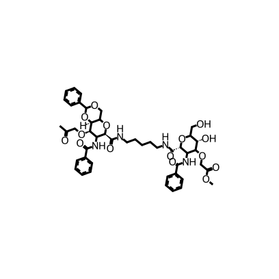 COC(=O)COC1C(NC(=O)c2ccccc2)[C@H](C(=O)NCCCCCNC(=O)[C@@H]2OC3COC(c4ccccc4)O[C@@H]3[C@H](OCC(C)=O)C2NC(=O)c2ccccc2)OC(CO)[C@@H]1O